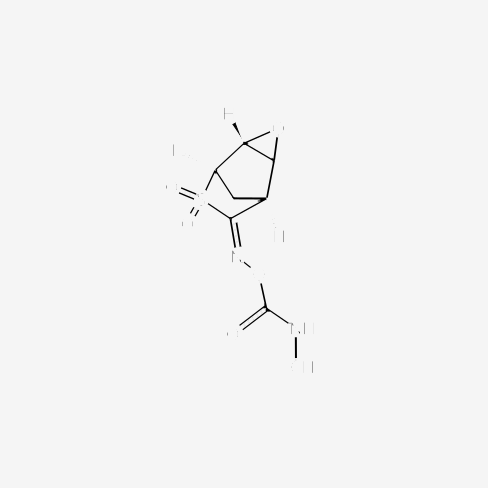 CNC(=O)O/N=C1\[C@H]2C[C@H]([C@@H]3OC23)S1(=O)=O